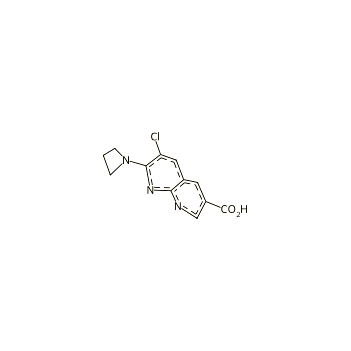 O=C(O)c1cnc2nc(N3CCC3)c(Cl)cc2c1